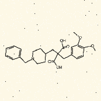 COc1ccc(CC(CC2CCN(Cc3ccccc3)CC2)(C(=O)O)C(=O)O)cc1OC